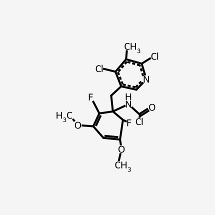 COC1=CC(OC)=C(F)C(Cc2cnc(Cl)c(C)c2Cl)(NC(=O)Cl)C1F